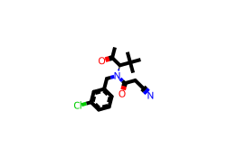 CC(=O)[C@@H](N(Cc1cccc(Cl)c1)C(=O)CC#N)C(C)(C)C